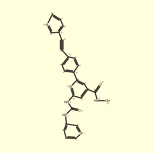 O=C(Nc1cccnc1)Nc1cc(C(=O)NO)cc(-c2ccc(C#Cc3cccnc3)cc2)n1